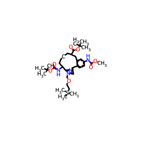 COC(=O)Nc1ccc2c(c1)CC(C(=O)OC(C)(C)C)CCCCC(NC(=O)OC(C)(C)C)c1nc-2cn1COCC[Si](C)(C)C